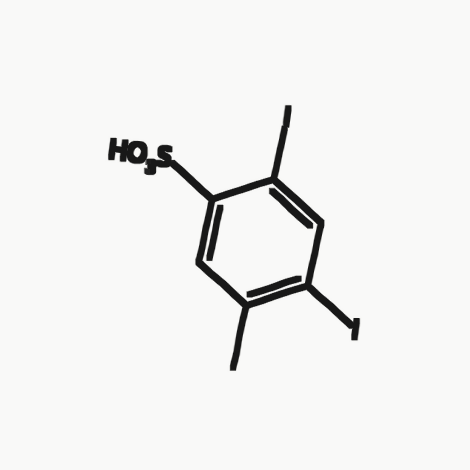 Cc1cc(S(=O)(=O)O)c(I)cc1I